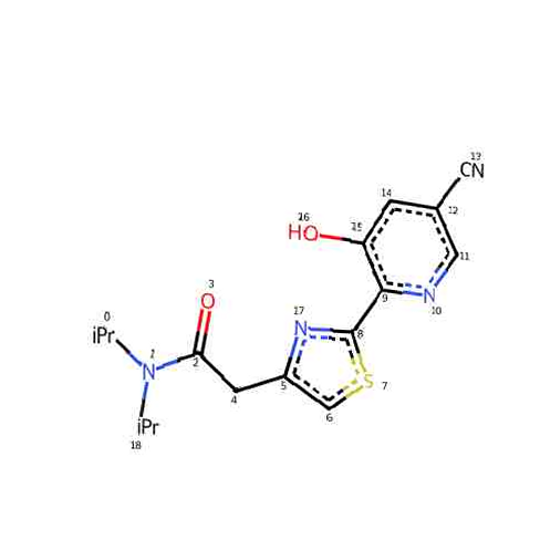 CC(C)N(C(=O)Cc1csc(-c2ncc(C#N)cc2O)n1)C(C)C